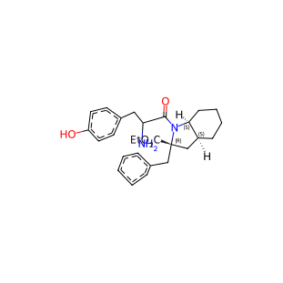 CCOC(=O)[C@]1(Cc2ccccc2)C[C@@H]2CCCC[C@@H]2N1C(=O)C(N)Cc1ccc(O)cc1